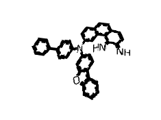 N=C1C=Cc2ccc3ccc(N(c4ccc(-c5ccccc5)cc4)c4ccc5c(c4)oc4ccccc45)cc3c2C1=N